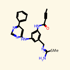 CC#CC(=O)Nc1cc(C/N=C(/N)SC)cc(Nc2cc(-c3ccccc3)ncn2)c1